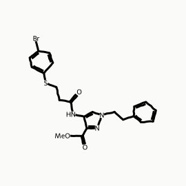 COC(=O)c1nn(CCc2ccccc2)cc1NC(=O)CCSc1ccc(Br)cc1